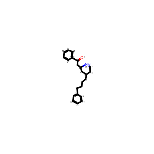 O=C(CC1CC(CCCCc2ccccc2)CCN1)c1ccccc1